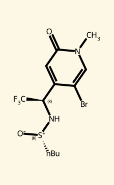 CCCC[S@+]([O-])N[C@H](c1cc(=O)n(C)cc1Br)C(F)(F)F